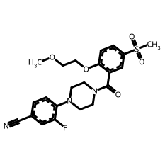 COCCOc1ccc(S(C)(=O)=O)cc1C(=O)N1CCN(c2ccc(C#N)cc2F)CC1